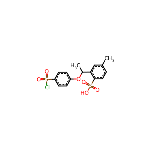 Cc1ccc(S(=O)(=O)O)c(C(C)Oc2ccc(S(=O)(=O)Cl)cc2)c1